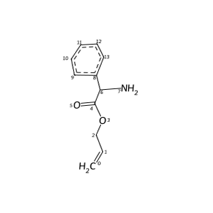 C=CCOC(=O)C(N)c1ccccc1